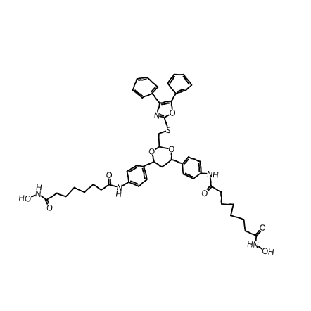 O=C(CCCCCCC(=O)Nc1ccc(C2CC(c3ccc(NC(=O)CCCCCCC(=O)NO)cc3)OC(CSc3nc(-c4ccccc4)c(-c4ccccc4)o3)O2)cc1)NO